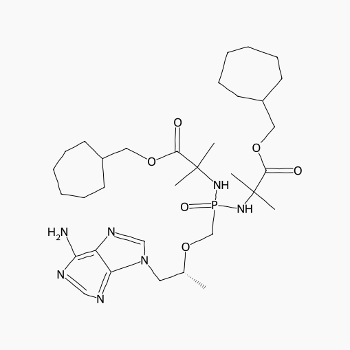 C[C@H](Cn1cnc2c(N)ncnc21)OCP(=O)(NC(C)(C)C(=O)OCC1CCCCCC1)NC(C)(C)C(=O)OCC1CCCCCC1